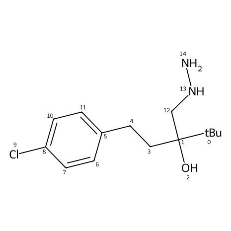 CC(C)(C)C(O)(CCc1ccc(Cl)cc1)CNN